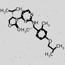 Cc1cc(OCC(C)C)ccc1[C@H](C)Nc1nccc(N2C(=O)OC[C@@H]2C(C)C)n1